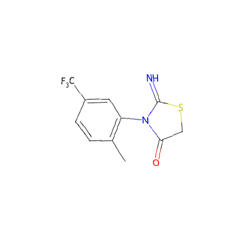 Cc1ccc(C(F)(F)F)cc1N1C(=N)SCC1=O